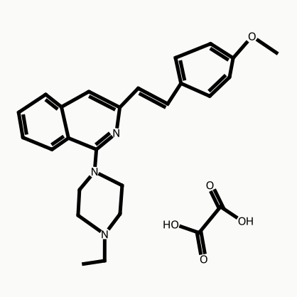 CCN1CCN(c2nc(/C=C/c3ccc(OC)cc3)cc3ccccc23)CC1.O=C(O)C(=O)O